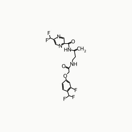 C=C(CCNC(=O)COc1ccc(C(F)F)c(F)c1)NC(=O)c1cnc(C(F)F)cn1